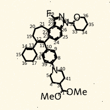 COC(OC)C1CCN(c2ccc(C3=C(C4=CCCCC4)CCCc4c3ccc3c4c(F)nn3C3CCCCO3)cc2)CC1